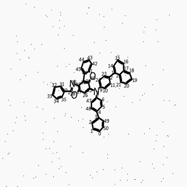 c1ccc(-c2ccc(N(c3ccc(-c4cccc5ccccc45)cc3)c3cc4oc(-c5ccccc5)nc4c4c3oc3ccccc34)cc2)cc1